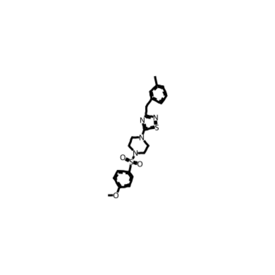 COc1ccc(S(=O)(=O)N2CCN(c3nc(Cc4cccc(C)c4)ns3)CC2)cc1